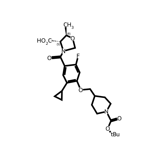 C[C@H]1OCN(C(=O)c2cc(C3CC3)c(OCC3CCN(C(=O)OC(C)(C)C)CC3)cc2F)[C@@H]1C(=O)O